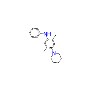 Cc1cc(N2CCCCC2)c(C)cc1Nc1ccccc1